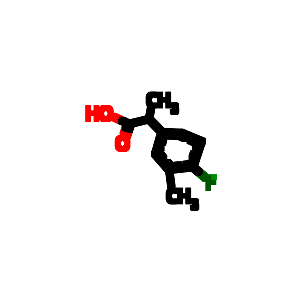 Cc1cc(C(C)C(=O)O)ccc1F